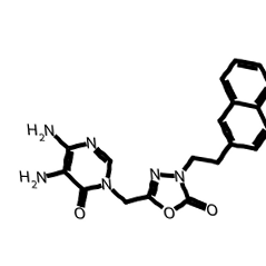 Nc1ncn(Cc2nn(CCc3ccc4ccccc4c3)c(=O)o2)c(=O)c1N